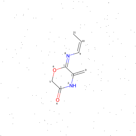 C=C1NC(=O)CO/C1=N/C=C\C